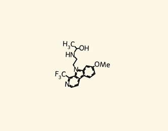 COc1ccc2c3ccnc(C(F)(F)F)c3n(CCNC(C)O)c2c1